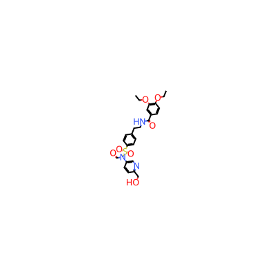 CCOc1ccc(C(=O)NCCc2ccc(S(=O)(=O)N(C=O)c3ccc(CO)nc3)cc2)cc1OCC